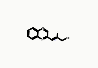 OC/C(F)=C/c1cnc2ccccc2n1